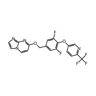 Fc1cc(COc2ccn3ccnc3n2)cc(F)c1Oc1ccc(C(F)(F)F)nc1